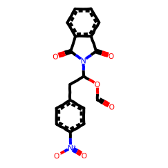 O=COC(Cc1ccc([N+](=O)[O-])cc1)N1C(=O)c2ccccc2C1=O